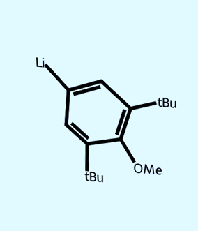 [Li][c]1cc(C(C)(C)C)c(OC)c(C(C)(C)C)c1